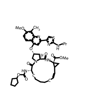 COC(=O)[C@@]12CC1/C=C\CCCCC[C@H](NC(=O)OC1CCCC1)C(=O)N1C[C@H](Oc3cc(-c4csc(NC(C)C)n4)nc4c(C)c(OC)ccc34)C[C@H]1C(=O)N2